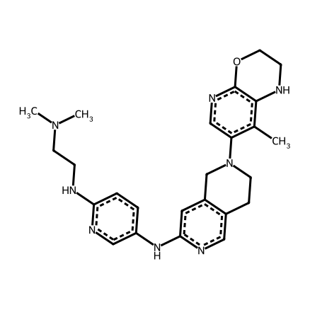 Cc1c(N2CCc3cnc(Nc4ccc(NCCN(C)C)nc4)cc3C2)cnc2c1NCCO2